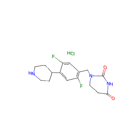 Cl.O=C1CCN(Cc2cc(F)c(C3CCNCC3)cc2F)C(=O)N1